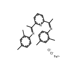 CC(=Nc1ccc(C)cc1C)c1cccc(C(C)=Nc2ccc(C)cc2C)n1.[Cl-].[Cl-].[Fe+2]